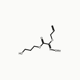 C=CCOC(=NOC)C(=O)OCCCO